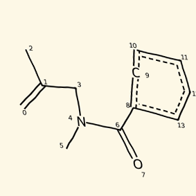 C=C(C)CN(C)C(=O)c1ccccc1